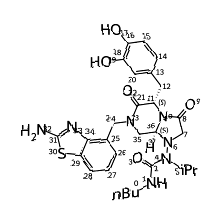 CCCCNC(=O)N(C(C)C)N1CC(=O)N2[C@@H](Cc3ccc(O)c(O)c3)C(=O)N(Cc3cccc4sc(N)nc34)C[C@@H]21